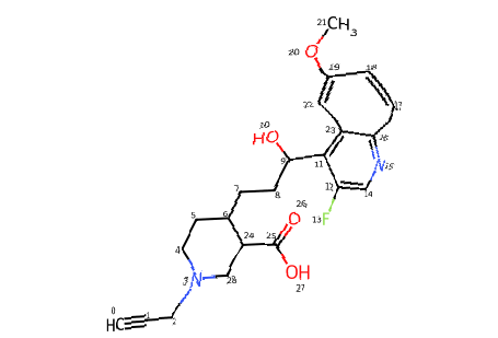 C#CCN1CCC(CCC(O)c2c(F)cnc3ccc(OC)cc23)C(C(=O)O)C1